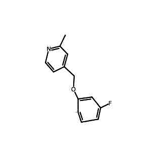 Cc1cc(COc2[c]ccc(F)c2)ccn1